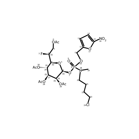 CC(=O)OC[C@H](F)[C@H]1O[C@@H](OP(=O)(OCc2ccc([N+](=O)[O-])o2)N(C)CCCCCl)[C@@H](OC(C)=O)[C@@H](OC(C)=O)[C@@H]1OC(C)=O